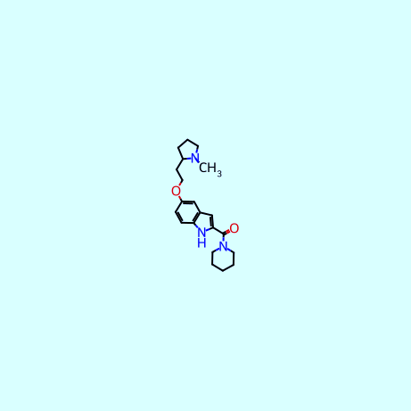 CN1CCCC1CCOc1ccc2[nH]c(C(=O)N3CCCCC3)cc2c1